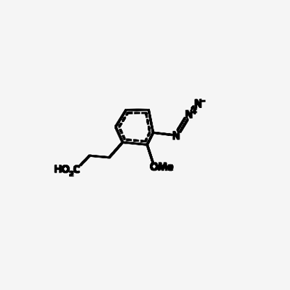 COc1c(CCC(=O)O)cccc1N=[N+]=[N-]